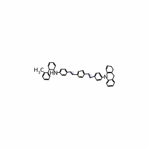 Cc1ccccc1C1C=CC=CC1Nc1ccc(/C=C/c2ccc(/C=C/c3ccc(N4C5=C(CCC=C5)Cc5ccccc54)cc3)cc2)cc1